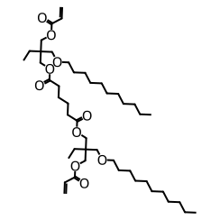 C=CC(=O)OCC(CC)(COCCCCCCCCCCC)COC(=O)CCCCC(=O)OCC(CC)(COCCCCCCCCCCC)COC(=O)C=C